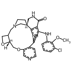 COc1c(Cl)cccc1Nc1c2[nH]c3c1C(=O)NC[C@@]31CCN(CC3CO[C@H]3COc3cnccc3-2)C1